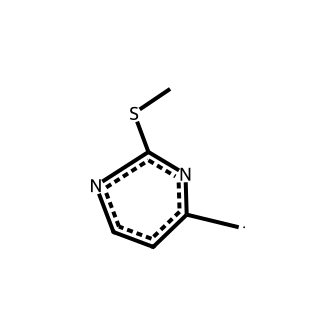 [CH2]c1ccnc(SC)n1